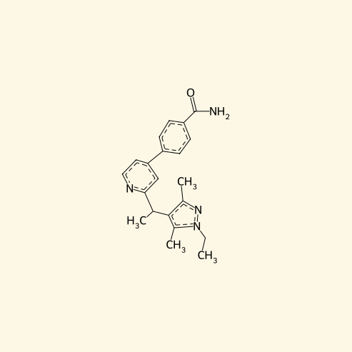 CCn1nc(C)c(C(C)c2cc(-c3ccc(C(N)=O)cc3)ccn2)c1C